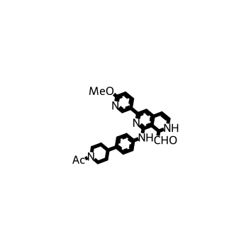 COc1ccc(-c2cc3c(c(Nc4ccc(C5CCN(C(C)=O)CC5)cc4)n2)C(C=O)NC=C3)cn1